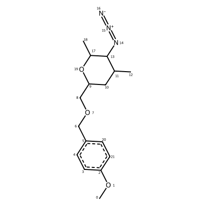 COc1ccc(COCC2CC(C)C(N=[N+]=[N-])C(C)O2)cc1